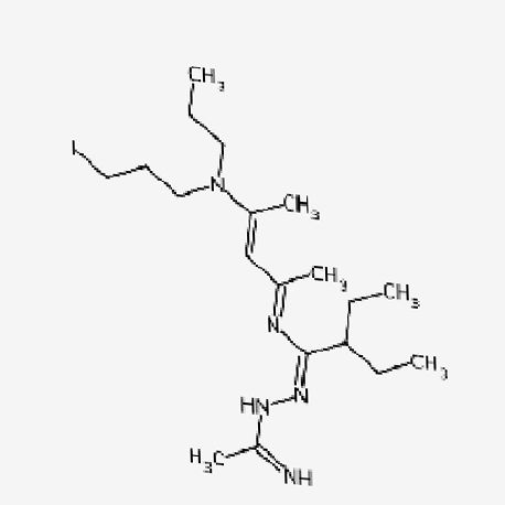 CCCN(CCCI)/C(C)=C/C(C)=N/C(=N\NC(C)=N)C(CC)CC